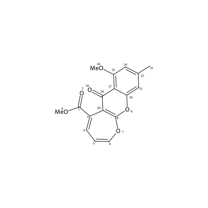 COC(=O)C1=CC=COc2oc3cc(C)cc(OC)c3c(=O)c21